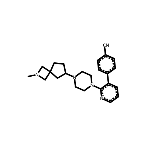 CN1CC2(CCC(N3CCN(c4ncccc4-c4ccc(C#N)cc4)CC3)C2)C1